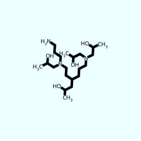 CC(O)CC(CCCN(CC(C)O)CC(C)O)CCN(CCCN)CC(C)O